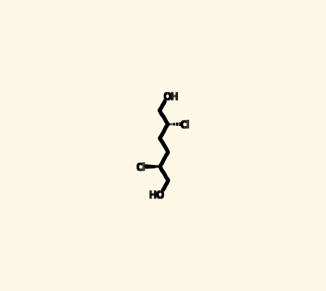 OC[C@@H](Cl)CC[C@@H](Cl)CO